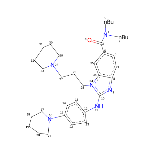 CCCCN(CCCC)C(=O)c1ccc2nc(Nc3ccc(N4CCCCC4)cc3)n(CCCN3CCCCC3)c2c1